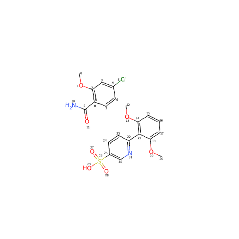 COc1cc(Cl)ccc1C(N)=O.COc1cccc(OC)c1-c1ccc(S(=O)(=O)O)cn1